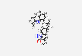 CCc1cc2cc([C@H](C)[C@H](C)Cc3ccc(C)c(/C=C\C(=N/C)C(C)C)c3)ccc2[nH]c1=O